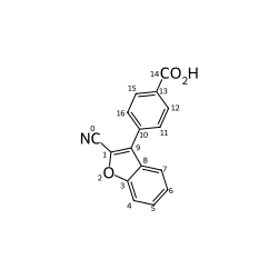 N#Cc1oc2ccccc2c1-c1ccc(C(=O)O)cc1